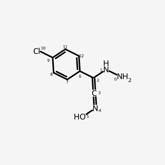 NNC(=C=NO)c1ccc(Cl)cc1